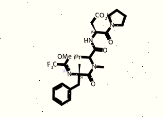 CO/C(=N\[C@@](C)(Cc1ccccc1)C(=O)N(C)C(C(=O)N[C@@H](CC(=O)O)C(=O)N1CCCC1)C(C)C)C(F)(F)F